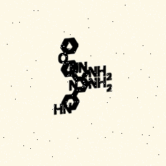 N=C(N)c1c(N)cc(C2CCNCC2)nc1-c1ccc(Oc2ccccc2)cc1